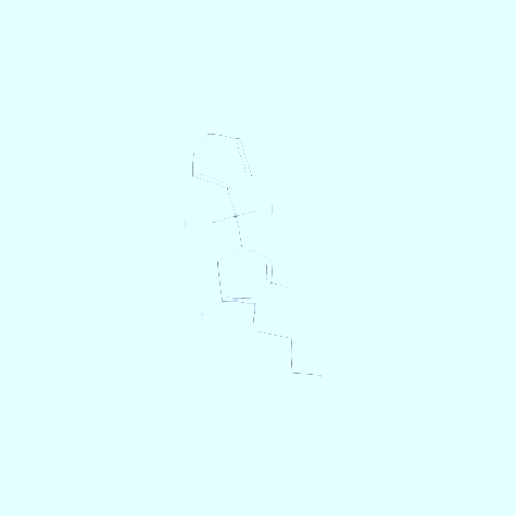 CC(C)(c1[c]cccc1)c1cc(Cl)c(OCCCl)c(Cl)c1